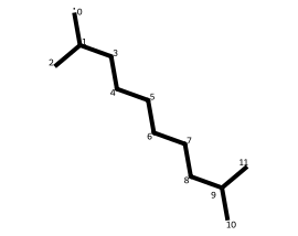 [CH2]C(C)CCCCCCC(C)C